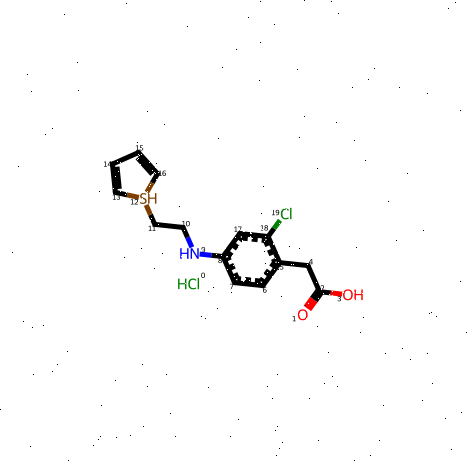 Cl.O=C(O)Cc1ccc(NCC[SH]2C=CC=C2)cc1Cl